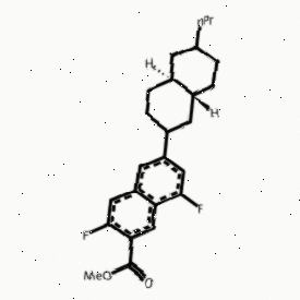 CCCC1CC[C@@H]2CC(c3cc(F)c4cc(C(=O)OC)c(F)cc4c3)CC[C@H]2C1